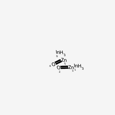 [InH3].[InH3].[O]=[Zn].[O]=[Zn]